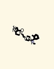 C/N=C(\c1ccccc1C)N1CCN(CCN2CCc3nn(C)cc3C2=O)CC1